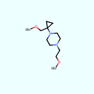 CC(C)(C)OCCN1CCN(C2(COC(C)(C)C)CC2)CC1